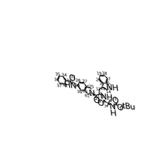 CC(C)(C)OC(=O)NC(C)(C)C(=O)N[C@H](Cc1c[nH]c2ccccc12)C(=O)N1Cc2ccc(NC(=O)c3ccccc3)cc2C1